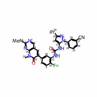 CNc1ncc2cc(-c3ccc(F)c(NC(=O)Nc4cc(C(C)C)nn4-c4cccc(C#N)c4)c3)c(=O)n(C)c2n1